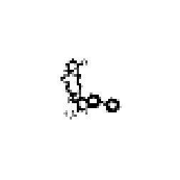 COCCc1nc2c(N)nc3cc(-c4ccccc4)ccc3c2n1CCCN1CCCC1=O